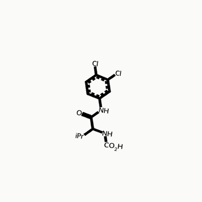 CC(C)C(NC(=O)O)C(=O)Nc1ccc(Cl)c(Cl)c1